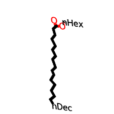 CCCCCCCCCCCCCCCCCCCCCCCCCC(=O)OCCCCCC